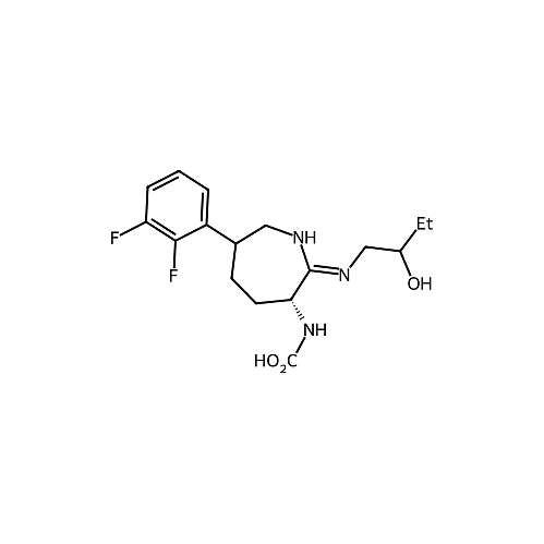 CCC(O)CN=C1NCC(c2cccc(F)c2F)CC[C@H]1NC(=O)O